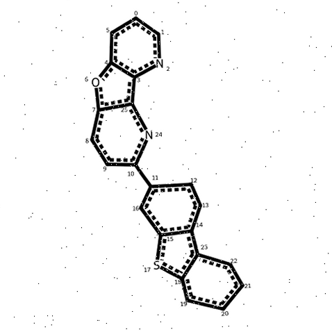 c1cnc2c(c1)oc1ccc(-c3ccc4c(c3)sc3ccccc34)nc12